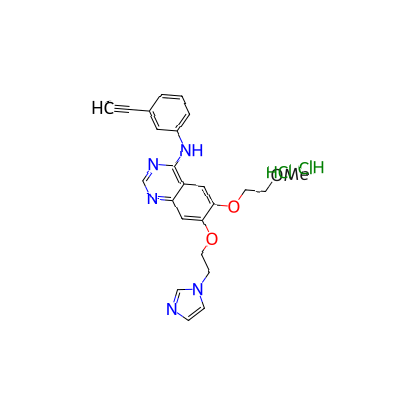 C#Cc1cccc(Nc2ncnc3cc(OCCn4ccnc4)c(OCCOC)cc23)c1.Cl.Cl